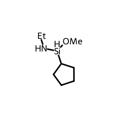 CCN[SiH](OC)C1CCCC1